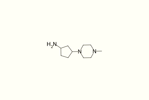 CN1CCN(C2CCC(N)C2)CC1